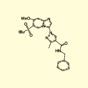 COc1cc2ncc(-n3cc(C(=O)NCc4ccccc4)c(C)n3)n2cc1S(=O)(=O)C(C)(C)C